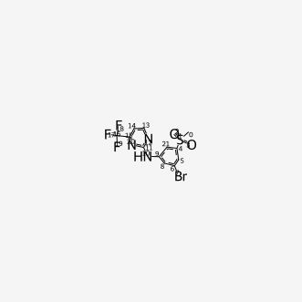 CS(=O)(=O)c1cc(Br)cc(Nc2nccc(C(F)(F)F)n2)c1